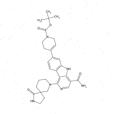 CC(C)(C)OC(=O)N1CC=C(c2ccc3c(c2)[nH]c2c(C(N)=O)cnc(N4CCCC5(CCNC5=O)C4)c23)CC1